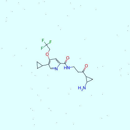 NC1CC1C(=O)CCNC(=O)c1cc(OCC(F)(F)F)c(C2CC2)cn1